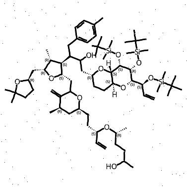 C=C[C@H](CC[C@H]1C[C@@H](C)C(=C)C(C[C@@H]2O[C@H](C[C@H]3CCC(C)(C)O3)[C@H](C)[C@H]2C(Cc2ccc(C)cc2)C(O)C[C@H]2CC[C@@H]3O[C@@H]([C@H](C=C)O[Si](C)(C)C(C)(C)C)[C@@H](O[Si](C)(C)C(C)(C)C)[C@@H](O[Si](C)(C)C(C)(C)C)[C@H]3O2)O1)O[C@H](C)CCC(C)O